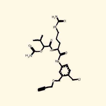 C#CCOCc1cc(NC(=O)C(CCCNC(N)=O)NC(=O)C(OC(N)=O)C(C)C)ccc1CCl